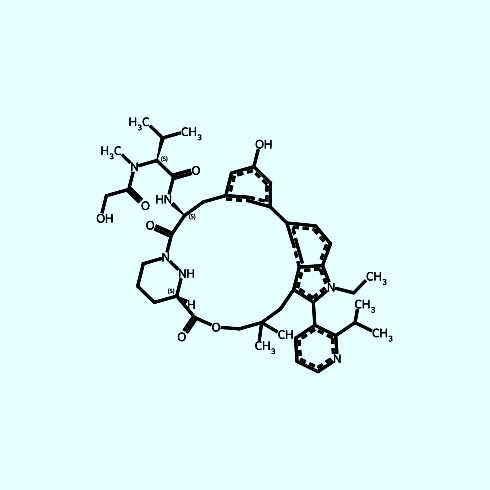 CCn1c(-c2cccnc2C(C)C)c2c3cc(ccc31)-c1cc(O)cc(c1)C[C@H](NC(=O)[C@H](C(C)C)N(C)C(=O)CO)C(=O)N1CCC[C@H](N1)C(=O)OCC(C)(C)C2